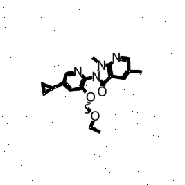 CCOSOc1cc(C2CC2)cnc1-n1c(=O)c2cc(C)cnc2n1C